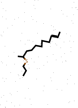 C/C=C/CCCCCCC(C)SCCC